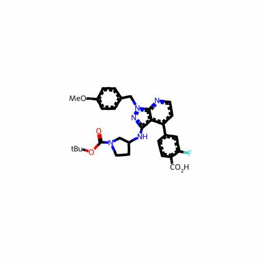 COc1ccc(Cn2nc(NC3CCN(C(=O)OC(C)(C)C)C3)c3c(-c4ccc(C(=O)O)c(F)c4)ccnc32)cc1